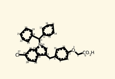 O=C(O)COc1ccc(Cc2cn(C(c3ccccc3)c3ccccc3)c3cc(Cl)ccc23)cc1